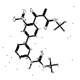 C=C(C(=O)OC(C)(C)C)C(=O)c1ccc(-c2cccc(N(C)C(=O)OC(C)(C)C)c2)cc1[N+](=O)[O-]